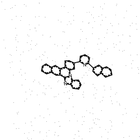 c1cc(-c2ccc3ccccc3c2)nc(-c2ccc3c4cc5ccccc5cc4c4nc5ccccc5n4c3c2)c1